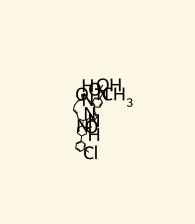 CN(C(=O)O)c1ccc2c(c1)NC(=O)CC/C=C/C[C@H](N1CCC(c3cccc(Cl)c3)CC1=O)c1nc-2c[nH]1